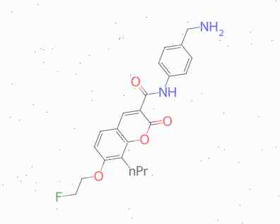 CCCc1c(OCCF)ccc2cc(C(=O)Nc3ccc(CN)cc3)c(=O)oc12